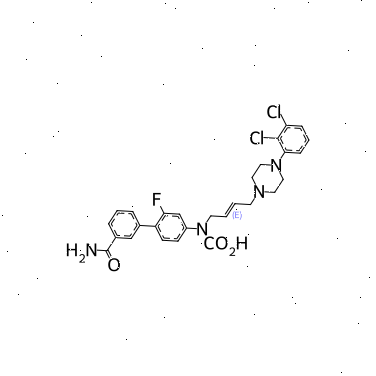 NC(=O)c1cccc(-c2ccc(N(C/C=C/CN3CCN(c4cccc(Cl)c4Cl)CC3)C(=O)O)cc2F)c1